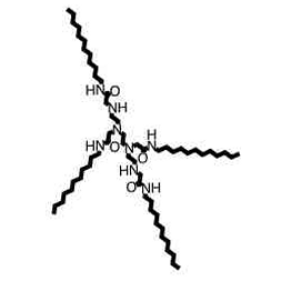 CCCCCCCCCCCCNC(=O)CNCCN(CCN(CCNCC(=O)NCCCCCCCCCCCC)CC(=O)NCCCCCCCCCCCC)CC(=O)NCCCCCCCCCCC